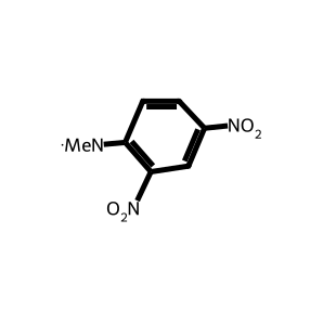 C[N]c1ccc([N+](=O)[O-])cc1[N+](=O)[O-]